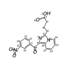 O=C(O)CCCc1nc(C(=O)c2cccc([N+](=O)[O-])c2)c2ccccn12